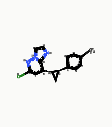 FC(F)(F)c1ccc([C@H]2C[C@@H]2c2cc(Cl)nn3ccnc23)cc1